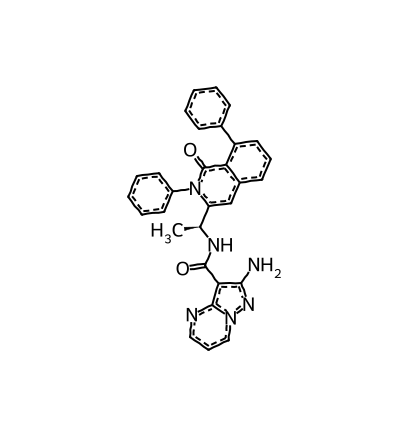 C[C@H](NC(=O)c1c(N)nn2cccnc12)c1cc2cccc(-c3ccccc3)c2c(=O)n1-c1ccccc1